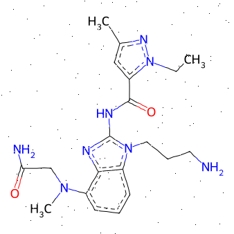 CCn1nc(C)cc1C(=O)Nc1nc2c(N(C)CC(N)=O)cccc2n1CCCN